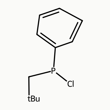 CC(C)(C)CP(Cl)c1ccccc1